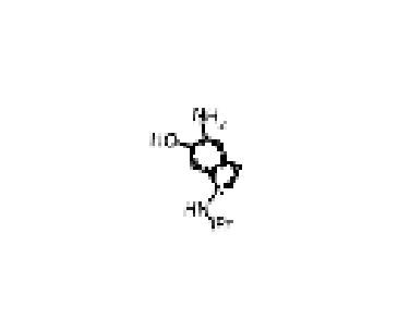 CC(C)Nn1ccc2cc(N)c(O)cc21